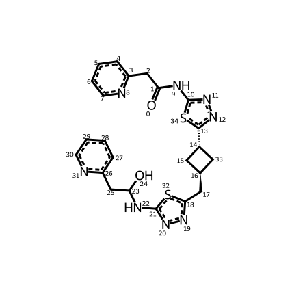 O=C(Cc1ccccn1)Nc1nnc([C@H]2C[C@H](Cc3nnc(NC(O)Cc4ccccn4)s3)C2)s1